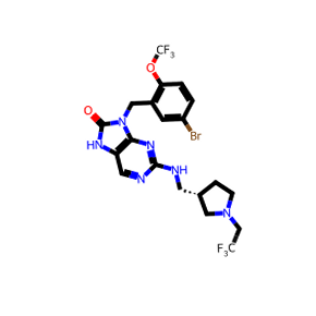 O=c1[nH]c2cnc(NC[C@@H]3CCN(CC(F)(F)F)C3)nc2n1Cc1cc(Br)ccc1OC(F)(F)F